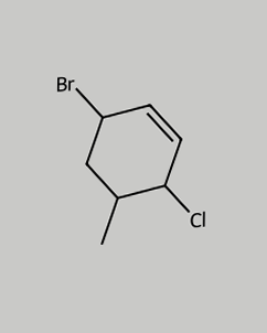 CC1CC(Br)C=CC1Cl